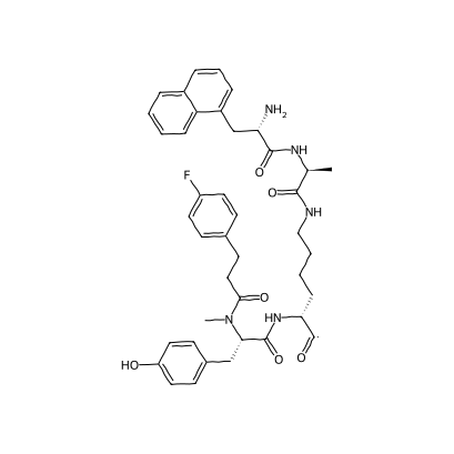 C[C@H](NC(=O)[C@@H](N)Cc1cccc2ccccc12)C(=O)NCCCC[C@H]([C]=O)NC(=O)[C@H](Cc1ccc(O)cc1)N(C)C(=O)CCc1ccc(F)cc1